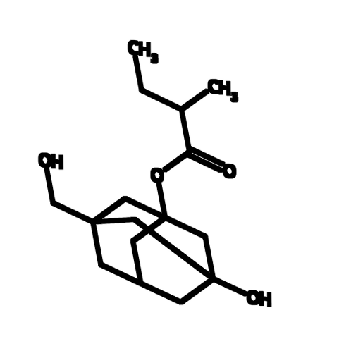 CCC(C)C(=O)OC12CC3CC(O)(CC(CO)(C3)C1)C2